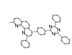 Cc1ccc2ccc3c(-c4ccc(-c5nc(-c6ccccc6)nc(-c6ccccc6)n5)cc4)cc(-c4ccccc4)nc3c2n1